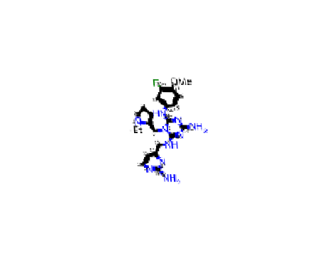 CCN1CCCC1CN1C(NCc2ccnc(N)n2)=NC(N)=NC1Nc1ccc(OC)c(F)c1